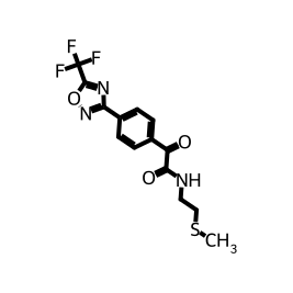 CSCCNC(=O)C(=O)c1ccc(-c2noc(C(F)(F)F)n2)cc1